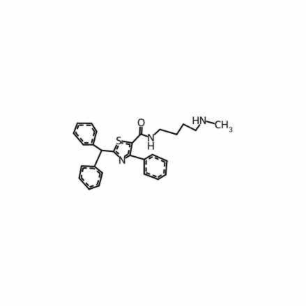 CNCCCCNC(=O)c1sc(C(c2ccccc2)c2ccccc2)nc1-c1ccccc1